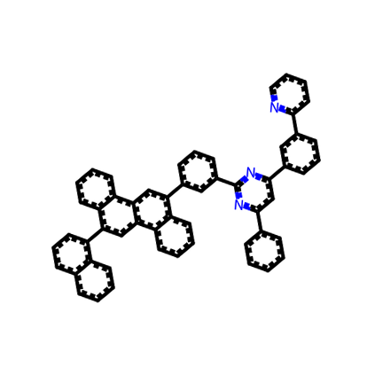 c1ccc(-c2cc(-c3cccc(-c4ccccn4)c3)nc(-c3cccc(-c4cc5c6ccccc6c(-c6cccc7ccccc67)cc5c5ccccc45)c3)n2)cc1